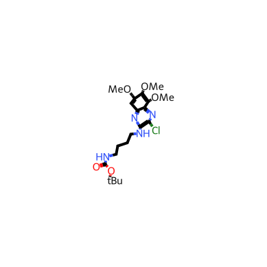 COc1cc2nc(NCCCCNC(=O)OC(C)(C)C)c(Cl)nc2c(OC)c1OC